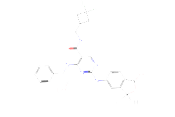 CC1(C)OC(O)c2ccc(Nc3ncc(C(=O)NCC4CC(F)(F)C4)c(N[C@H](CO)c4ccccc4)n3)cc21